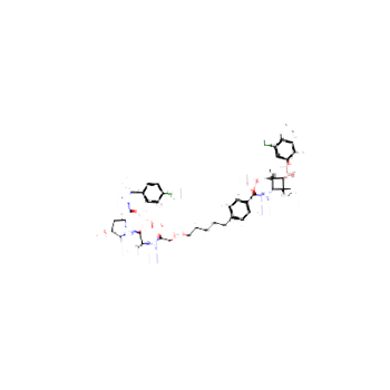 C[C@H](NC(=O)[C@@H]1C[C@@H](O)CN1C(=O)C(NC(=O)COCCCCCc1ccc(C(=O)N[C@H]2C(C)(C)[C@H](Oc3ccc(C#N)c(Cl)c3)C2(C)C)cc1)C(C)(C)C)c1ccc(Cl)cc1